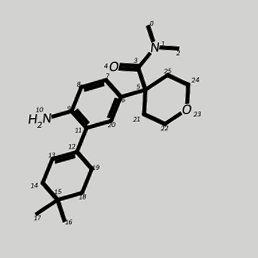 CN(C)C(=O)C1(c2ccc(N)c(C3=CCC(C)(C)CC3)c2)CCOCC1